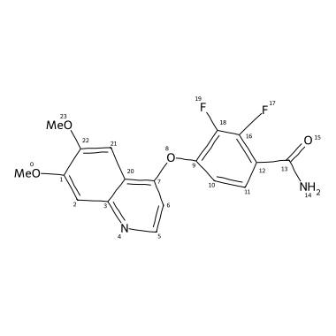 COc1cc2nccc(Oc3ccc(C(N)=O)c(F)c3F)c2cc1OC